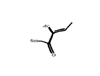 C/C=C(\C(C)=O)C(=O)NC